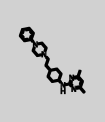 Cc1cc(C)nc(NC2CCC(CCN3CCN(c4ccccc4)CC3)CC2)n1